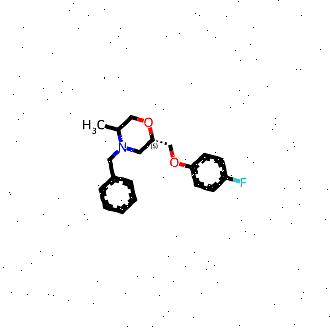 CC1CO[C@H](COc2ccc(F)cc2)CN1Cc1ccccc1